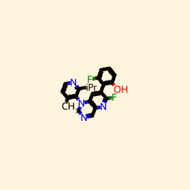 Cc1ccnc(C(C)C)c1N1CN=Cc2nc(F)c(-c3c(O)cccc3F)cc21